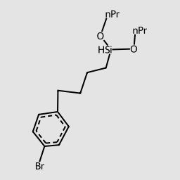 CCCO[SiH](CCCCc1ccc(Br)cc1)OCCC